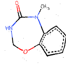 CN1C(=O)NCOc2ccccc21